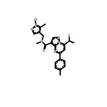 CCn1ncc(CN(C)C(=O)c2cnn3c(C(F)F)cc(-c4ccc(C)cc4)nc23)c1C